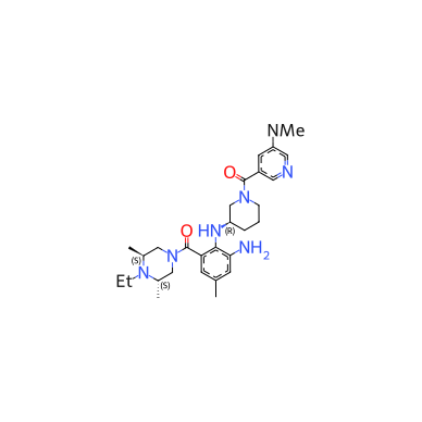 CCN1[C@@H](C)CN(C(=O)c2cc(C)cc(N)c2N[C@@H]2CCCN(C(=O)c3cncc(NC)c3)C2)C[C@@H]1C